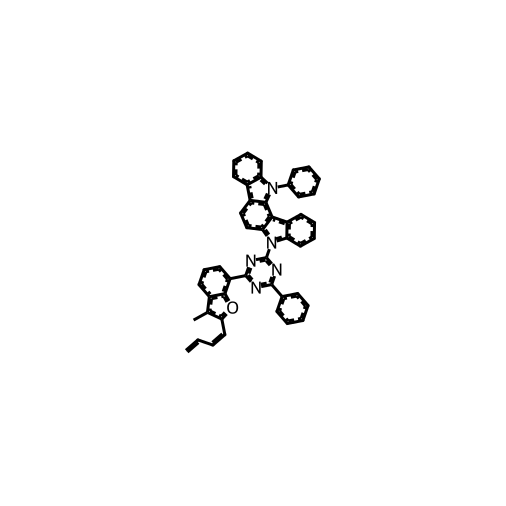 C=C/C=C\c1oc2c(-c3nc(-c4ccccc4)nc(-n4c5ccccc5c5c4ccc4c6ccccc6n(-c6ccccc6)c45)n3)cccc2c1C